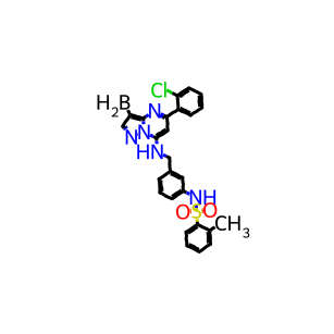 Bc1cnn2c(NCc3cccc(NS(=O)(=O)c4ccccc4C)c3)cc(-c3ccccc3Cl)nc12